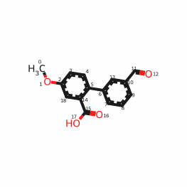 COc1ccc(-c2cccc(C=O)c2)c(C(=O)O)c1